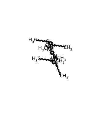 CCCCCCCCOc1ccc(OCCCCCCCC)c(-c2oc(-c3ccc(-c4nc(C(C)C)c(-c5cc(OCCCCCCCC)ccc5OCCCCCCCC)o4)cc3)nc2C(C)C)c1